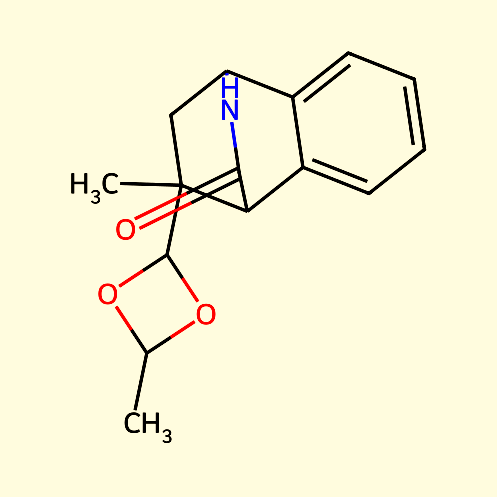 CC1OC(C2(C)CC3NC(=O)C2c2ccccc23)O1